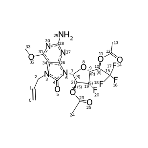 C#CCn1c(=O)n([C@@H]2O[C@H]([C@@H](OC(C)=O)C(F)(F)F)[C@H](F)[C@H]2OC(C)=O)c2nc(N)nc(OC)c21